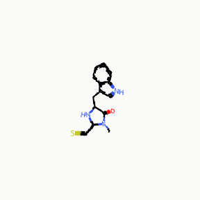 CN1C(=O)C(Cc2c[nH]c3ccccc23)NC1C=S